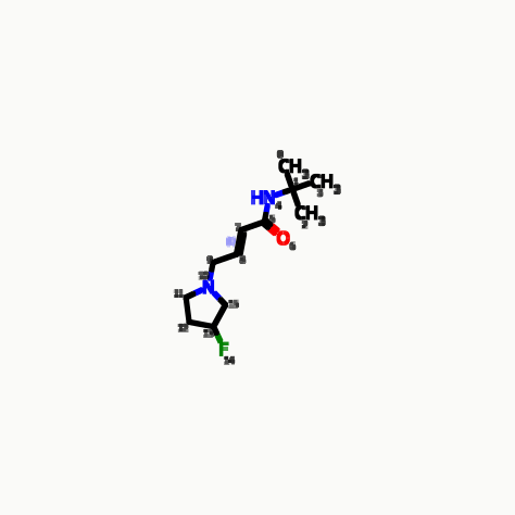 CC(C)(C)NC(=O)/C=C/CN1CCC(F)C1